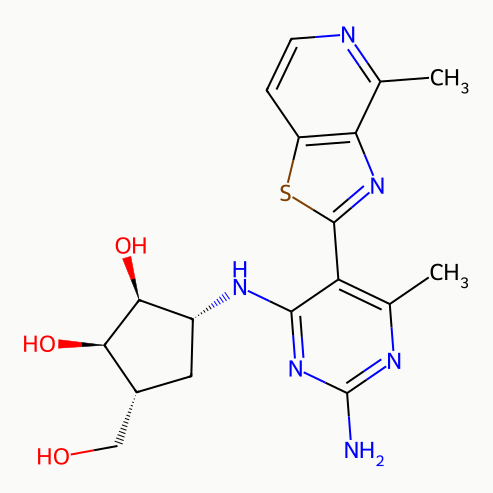 Cc1nc(N)nc(N[C@@H]2C[C@H](CO)[C@@H](O)[C@H]2O)c1-c1nc2c(C)nccc2s1